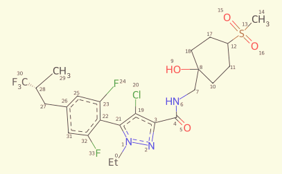 CCn1nc(C(=O)NCC2(O)CCC(S(C)(=O)=O)CC2)c(Cl)c1-c1c(F)cc(C[C@@H](C)C(F)(F)F)cc1F